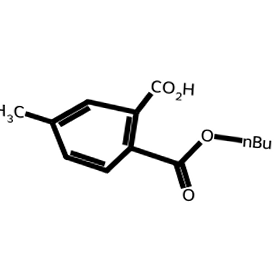 CCCCOC(=O)c1ccc(C)cc1C(=O)O